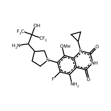 COc1c(N2CCC(C(N)C(O)(C(F)(F)F)C(F)(F)F)C2)c(F)c(N)c2c(=O)[nH]c(=O)n(C3CC3)c12